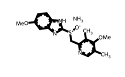 COc1ccc2[nH]c([S+]([O-])Cc3ncc(C)c(OC)c3C)nc2c1.N